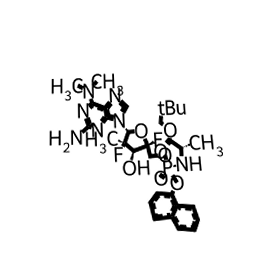 C[C@H](N[P@](=O)(OC[C@@]1(F)O[C@@H](n2cnc3c(N(C)C)nc(N)nc32)[C@](C)(F)[C@@H]1O)Oc1cccc2ccccc12)C(=O)OCC(C)(C)C